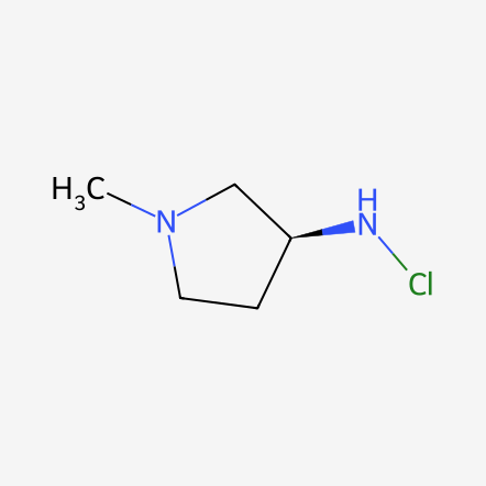 CN1CC[C@H](NCl)C1